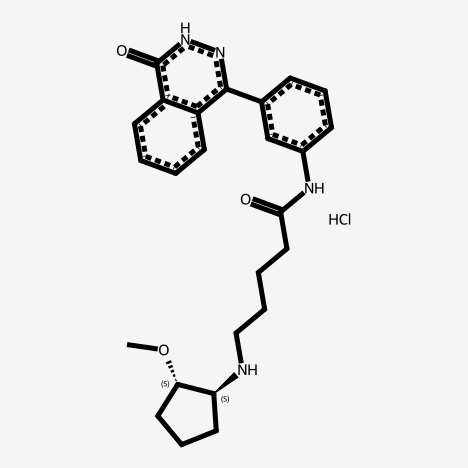 CO[C@H]1CCC[C@@H]1NCCCCC(=O)Nc1cccc(-c2n[nH]c(=O)c3ccccc23)c1.Cl